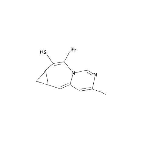 CC1=CC2=CC3CC3C(S)=C(C(C)C)N2C=N1